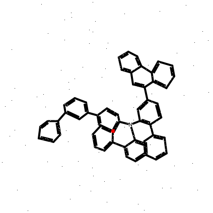 c1ccc(-c2cccc(-c3ccc(N(c4ccccc4-c4ccccc4)c4cc(-c5cc6ccccc6c6ccccc56)ccc4-c4ccccc4)cc3)c2)cc1